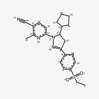 CCS(=O)(=O)c1ccc(C2=NN(c3ccc(C#N)c(C)n3)C(C3CCCC3)C2)cc1